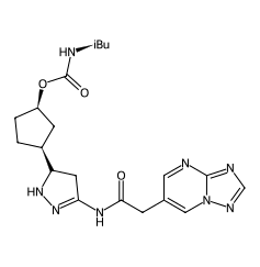 CC[C@H](C)NC(=O)O[C@@H]1CC[C@H](C2CC(NC(=O)Cc3cnc4ncnn4c3)=NN2)C1